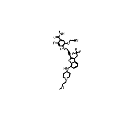 CNC(=O)c1cc(OCC#N)c(NCC#Cc2sc3c(NC4CCN(CCOC)CC4)cccc3c2CC(F)(F)F)cc1F